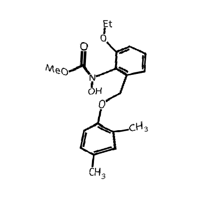 CCOc1cccc(COc2ccc(C)cc2C)c1N(O)C(=O)OC